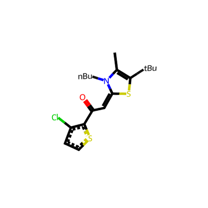 CCCCN1C(=CC(=O)c2sccc2Cl)SC(C(C)(C)C)=C1C